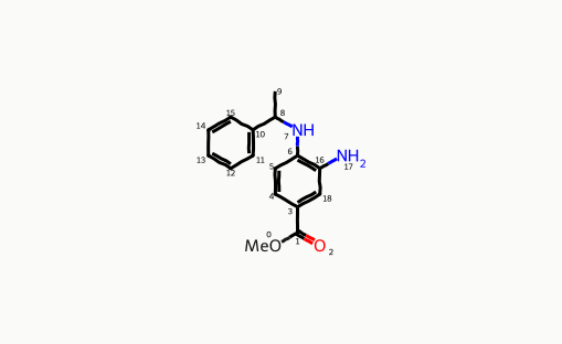 COC(=O)c1ccc(NC(C)c2ccccc2)c(N)c1